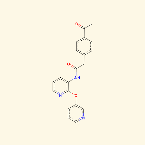 CC(=O)c1ccc(CC(=O)Nc2cccnc2Oc2cccnc2)cc1